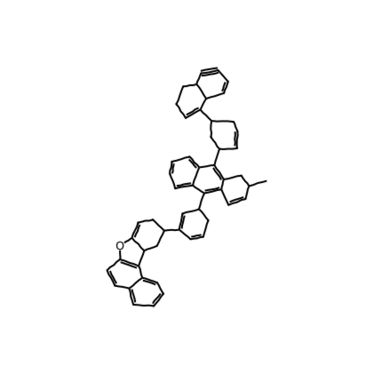 CC1C=Cc2c(c(C3C=CCC(C4=CCCC5C#CC=CC45)C3)c3ccccc3c2C2C=C(C3CC=C4Oc5ccc6ccccc6c5C4C3)C=CC2)C1